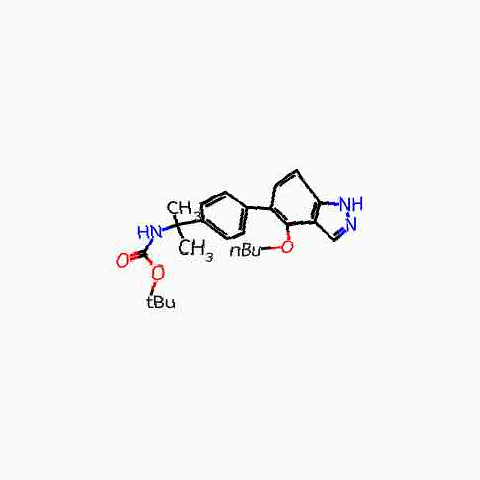 CCCCOc1c(-c2ccc(C(C)(C)NC(=O)OC(C)(C)C)cc2)ccc2[nH]ncc12